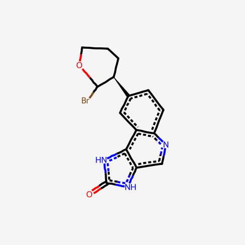 O=c1[nH]c2cnc3ccc([C@@H]4CCCOC4Br)cc3c2[nH]1